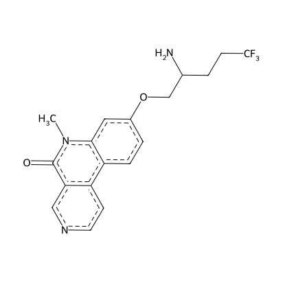 Cn1c(=O)c2cnccc2c2ccc(OCC(N)CCC(F)(F)F)cc21